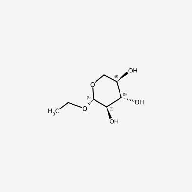 CCO[C@@H]1OC[C@@H](O)[C@H](O)[C@H]1O